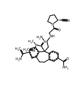 C=NN(C)/C(=N\N)C1(CCNCC(=O)N2CCC[C@H]2C#N)c2ccc(C(=C)N)cc2CCc2cc(C(N)=O)ccc21